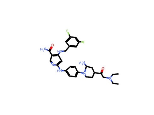 CCN(CC)CC(=O)C1CCN(c2ccc(Nc3cc(NCc4cc(F)cc(F)c4)c(C(N)=O)cn3)cc2)C(N)C1